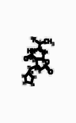 CC(F)c1nc2oc(=O)cc(CC3CCCC3)c2c(=O)[nH]1